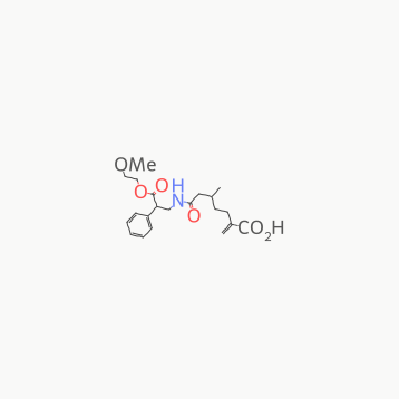 C=C(CCC(C)CC(=O)NCC(C(=O)OCCOC)c1ccccc1)C(=O)O